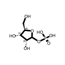 O=P(O)(O)OC1O[C@H](CO)[C@@H](O)[C@H]1O